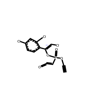 C#COP(=O)(C=C=O)O/C(=C\Cl)c1ccc(Cl)cc1Cl